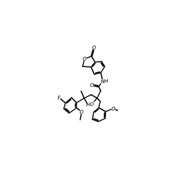 COc1ccccc1CC(O)(CC(=O)Nc1ccc2c(c1)COC2=O)CC(C)(C)c1cc(F)ccc1OC